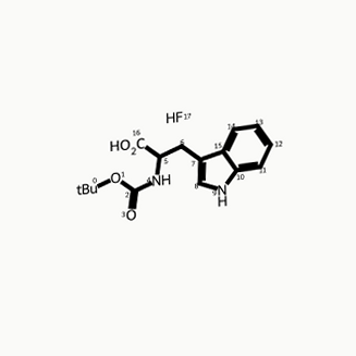 CC(C)(C)OC(=O)NC(Cc1c[nH]c2ccccc12)C(=O)O.F